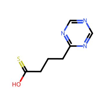 OC(=S)CCCc1ncncn1